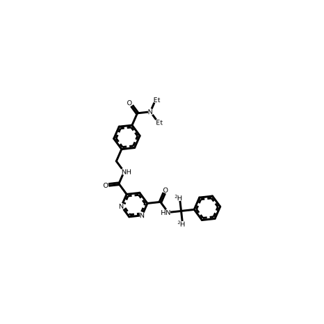 [2H]C([2H])(NC(=O)c1cc(C(=O)NCc2ccc(C(=O)N(CC)CC)cc2)ncn1)c1ccccc1